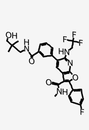 CNC(=O)c1c(-c2ccc(F)cc2)oc2nc(NCC(F)(F)F)c(-c3cccc(C(=O)NCC(C)(C)CO)c3)cc12